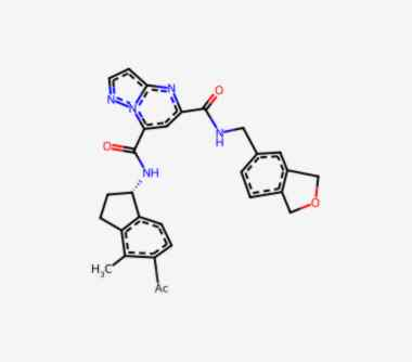 CC(=O)c1ccc2c(c1C)CC[C@@H]2NC(=O)c1cc(C(=O)NCc2ccc3c(c2)COC3)nc2ccnn12